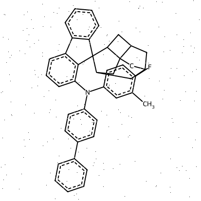 Cc1cc(N(c2ccc(-c3ccccc3)cc2)c2cccc3c2C2(c4ccccc4-3)C3CC4CC5CC2C5(C4)C3)ccc1F